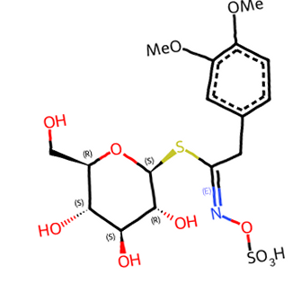 COc1ccc(C/C(=N\OS(=O)(=O)O)S[C@@H]2O[C@H](CO)[C@@H](O)[C@H](O)[C@H]2O)cc1OC